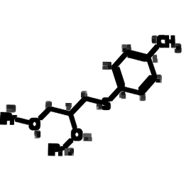 Cc1ccc(SCC(COC(C)C)OC(C)C)cc1